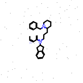 C=C(/C=C\C)N(CCCC1CCCCN1Cc1ccccc1)C1Cc2ccccc2C1